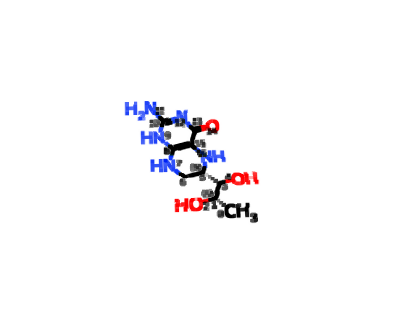 C[C@H](O)C(O)[C@@H]1CNc2[nH]c(N)nc(=O)c2N1